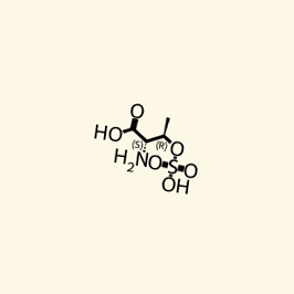 C[C@@H](OS(=O)(=O)O)[C@H](N)C(=O)O